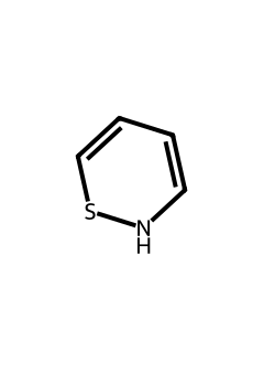 C1=CNSC=C1